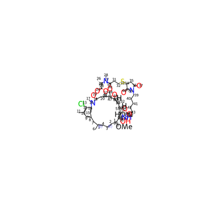 CO[C@@H]1/C=C/C=C(\C)Cc2cc(C)c(Cl)c(c2)N(C)C(=O)C[C@H](OC(=O)[C@H](C)N(C)C(=O)CCSC2CC(=O)N(CCCCCC(=O)O)C2=O)[C@]2(C)O[C@H]2[C@H](C)[C@@H]2C[C@@]1(O)NC(=O)O2